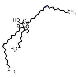 CCCCCCCC/C=C\CCCCCCCC(=O)OC(C(=O)CCCCCCC)(C(=O)CCCCCCC/C=C\CCCCCCCC)C(O)CO